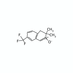 CC1(C)Cc2ccc(C(F)(F)F)cc2C=[N+]1[O-]